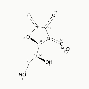 O.O=C1O[C@H]([C@@H](O)CO)C(=O)C1=O